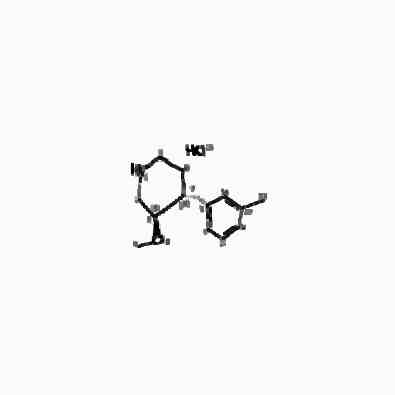 CO[C@H]1CNCC[C@@H]1c1cccc(C)c1.Cl